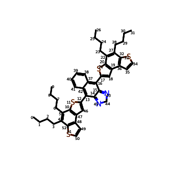 CCCCc1c(CCCC)c2sc(-c3c4c(c(-c5cc6c(s5)c(CCCC)c(CCCC)c5sccc56)c5ccccc35)=NCN=4)cc2c2ccsc12